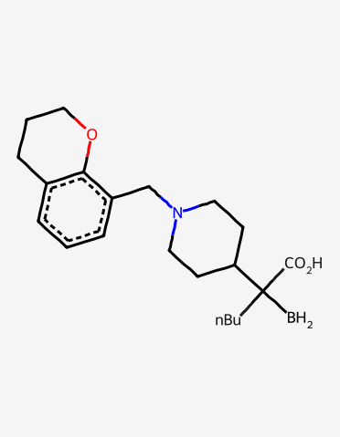 BC(CCCC)(C(=O)O)C1CCN(Cc2cccc3c2OCCC3)CC1